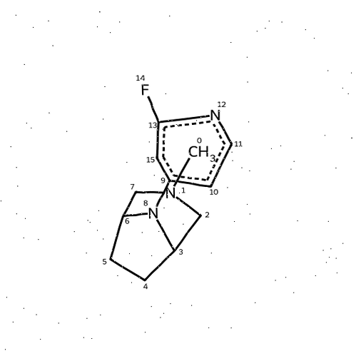 CN1CC2CCC(C1)N2c1ccnc(F)c1